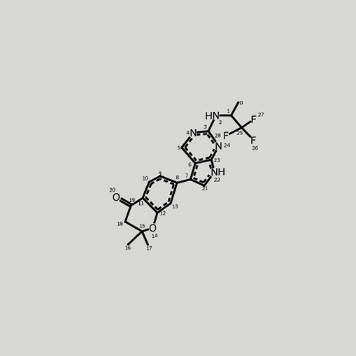 CC(Nc1ncc2c(-c3ccc4c(c3)OC(C)(C)CC4=O)c[nH]c2n1)C(F)(F)F